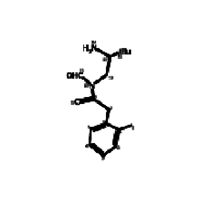 Cc1ccccc1CC(=O)N(C=O)C[C@@H](N)C(C)(C)C